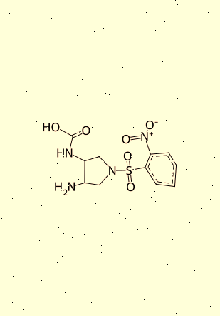 NC1CN(S(=O)(=O)c2ccccc2[N+](=O)[O-])CC1NC(=O)O